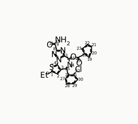 CCc1cc2c(s1)-n1nc(C(N)=O)nc1C(OC(=O)c1ccccc1)N=C2c1ccccc1Cl